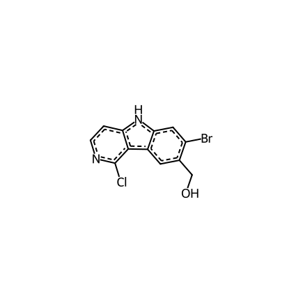 OCc1cc2c(cc1Br)[nH]c1ccnc(Cl)c12